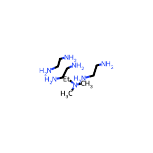 CCN(C)C.NCCN.NCCN.NCCN